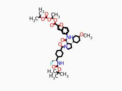 COC1CCC([C@@H]2CCN(C(=O)C3CCC([C@@H](CF)NC(=O)OC(C)(C)C)CC3)[C@H]2C(=O)Nc2ccc3oc(C(=O)OC(C)OC(=O)OC(C)C)cc3c2)CC1